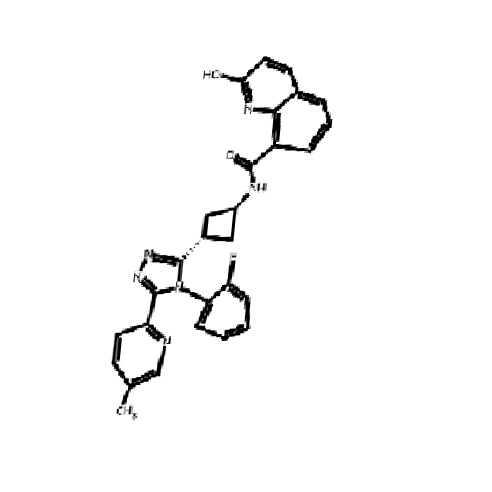 Cc1ccc(-c2nnc([C@H]3C[C@H](NC(=O)c4cccc5ccc(O)nc45)C3)n2-c2ccccc2F)nc1